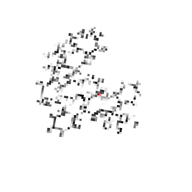 CC1(C)c2ccccc2-c2ccc(-c3ccccc3-c3c4ccccc4c(-c4cc5cccc6oc7cccc4c7c56)c4ccccc34)cc21